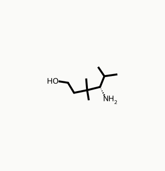 CC(C)[C@H](N)C(C)(C)CCO